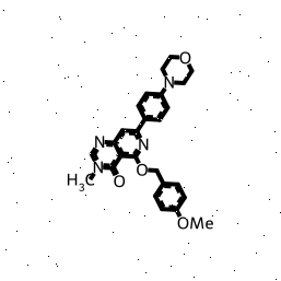 COc1ccc(COc2nc(-c3ccc(N4CCOCC4)cc3)cc3ncn(C)c(=O)c23)cc1